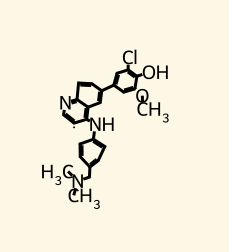 COc1cc(-c2ccc3nc[c]c(Nc4ccc(CN(C)C)cc4)c3c2)cc(Cl)c1O